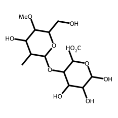 COC1C(CO)OC(OC2C(C(=O)O)OC(O)C(O)C2O)C(C)C1O